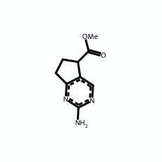 COC(=O)C1CCc2nc(N)ncc21